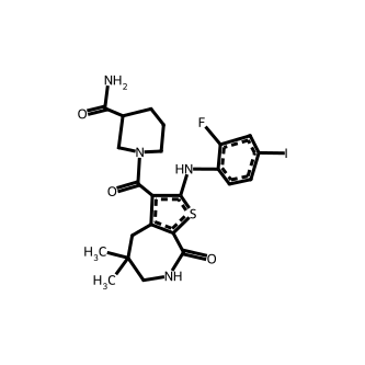 CC1(C)CNC(=O)c2sc(Nc3ccc(I)cc3F)c(C(=O)N3CCCC(C(N)=O)C3)c2C1